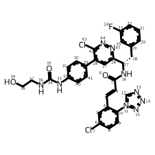 O=C(C=Cc1cc(Cl)ccc1-n1cnnn1)N[C@@H](Cc1cccc(F)c1)c1cc(-c2ccc(NC(=O)NCCO)cc2)c(Cl)nn1